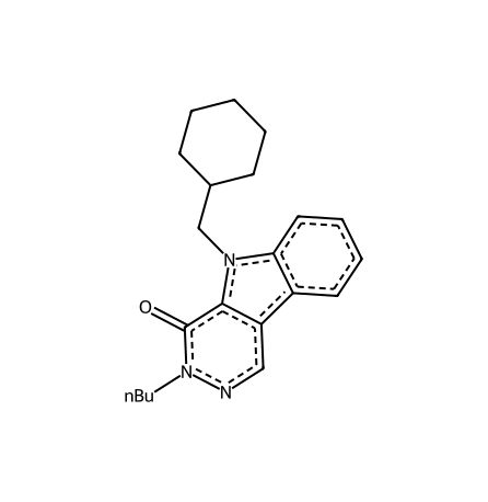 CCCCn1ncc2c3ccccc3n(CC3CCCCC3)c2c1=O